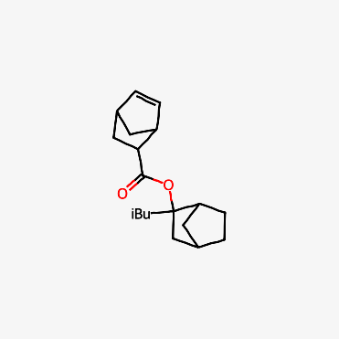 CCC(C)C1(OC(=O)C2CC3C=CC2C3)CC2CCC1C2